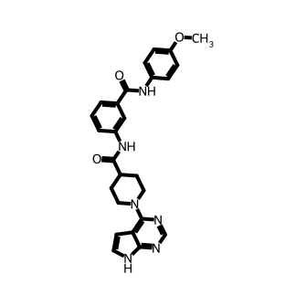 COc1ccc(NC(=O)c2cccc(NC(=O)C3CCN(c4ncnc5[nH]ccc45)CC3)c2)cc1